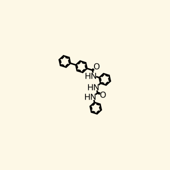 O=C(Nc1ccccc1)Nc1ccccc1NC(=O)c1ccc(-c2ccccc2)cc1